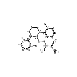 Cc1cccnc1C1CCCC(c2ncccc2C)N1CCN(O)C(N)=O